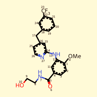 COc1ccc(C(=O)NCCO)cc1Nc1cc(Cc2cccc(C(F)(F)F)c2)ccn1